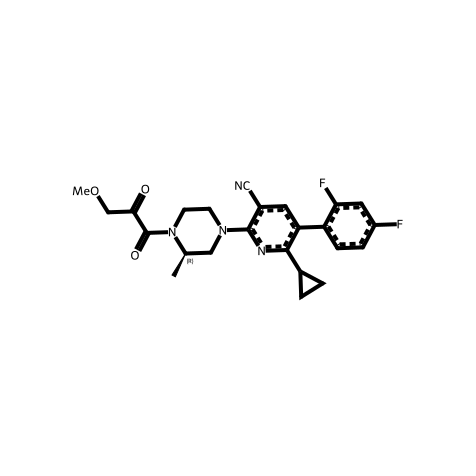 COCC(=O)C(=O)N1CCN(c2nc(C3CC3)c(-c3ccc(F)cc3F)cc2C#N)C[C@H]1C